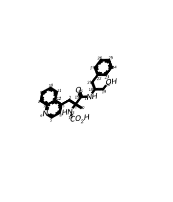 CC(Cc1ccnc2ccccc12)(NC(=O)O)C(=O)NC(CO)Cc1ccccc1